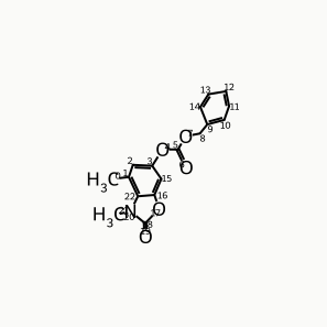 Cc1cc(OC(=O)OCc2ccccc2)cc2oc(=O)n(C)c12